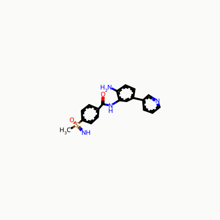 CS(=N)(=O)c1ccc(C(=O)Nc2cc(-c3cccnc3)ccc2N)cc1